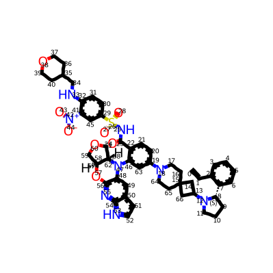 C=Cc1ccccc1[C@@H]1CCCN1C1CC2(CCN(c3ccc(C(=O)NS(=O)(=O)c4ccc(NCC5CCOCC5)c([N+](=O)[O-])c4)c(N4c5cc6cc[nH]c6nc5O[C@H]5COC[C@@H]54)c3)CC2)C1